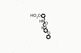 O=C(Cc1nc2ccc(Oc3ccccc3)cc2s1)NCc1cccc(C(=O)O)c1